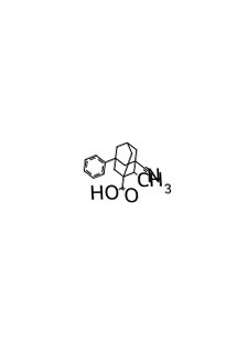 CC1C2(C#N)CC3CC(c4ccccc4)(C2)CC1(C(=O)O)C3